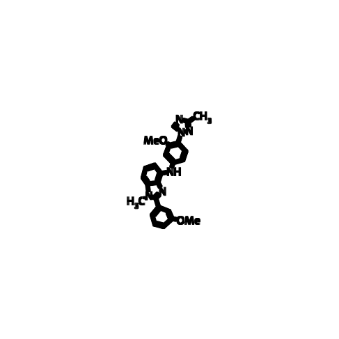 COc1cccc(-c2nc3c(Nc4ccc(-n5cnc(C)n5)c(OC)c4)cccc3n2C)c1